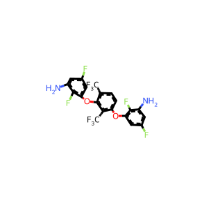 Nc1cc(F)cc(Oc2ccc(C(F)(F)F)c(Oc3cc(F)cc(N)c3F)c2C(F)(F)F)c1F